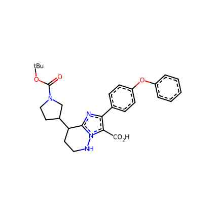 CC(C)(C)OC(=O)N1CCC(C2CCNn3c2nc(-c2ccc(Oc4ccccc4)cc2)c3C(=O)O)C1